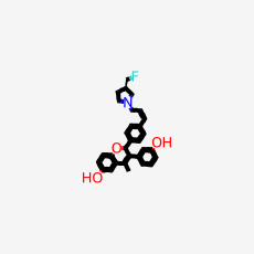 CC1=C(c2cccc(O)c2)C(c2ccc(/C=C\CN3CC[C@@H](CF)C3)cc2)Oc2ccc(O)cc21